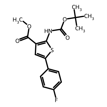 COC(=O)c1cc(-c2ccc(F)cc2)sc1NC(=O)OC(C)(C)C